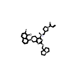 C=CC(=O)N1CCC(/C=[N+](\C)c2nc(OCC34CCCN3CCC4)nc3c2CCN(c2cccc4ccc(F)c(Cl)c24)C3)C1